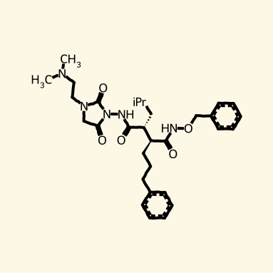 CC(C)C[C@@H](C(=O)NN1C(=O)CN(CCN(C)C)C1=O)[C@H](CCCc1ccccc1)C(=O)NOCc1ccccc1